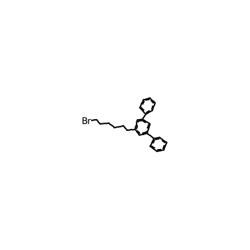 BrCCCCCCc1cc(-c2ccccc2)cc(-c2ccccc2)c1